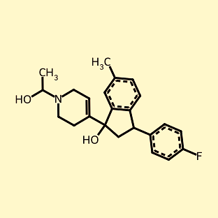 Cc1ccc2c(c1)C(O)(C1=CCN(C(C)O)CC1)CC2c1ccc(F)cc1